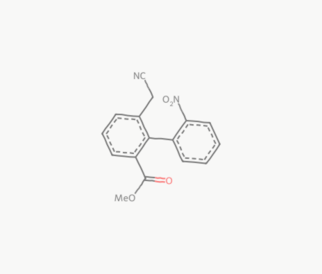 COC(=O)c1cccc(CC#N)c1-c1ccccc1[N+](=O)[O-]